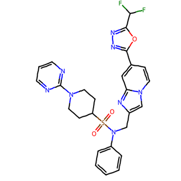 O=S(=O)(C1CCN(c2ncccn2)CC1)N(Cc1cn2ccc(-c3nnc(C(F)F)o3)cc2n1)c1ccccc1